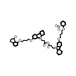 O=C(CCn1c2ccccc2c2ccc(OCCCCOc3ccccc3[N+](=O)[O-])cc21)OC(=O)CCn1c2ccccc2c2ccc(OCCCCOc3cccc4c3C(=O)CC4)cc21